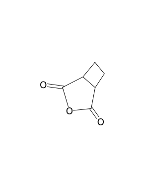 O=C1OC(=O)C2CCC12